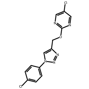 Clc1ccc(-n2cc(COc3ncc(Cl)cn3)nn2)cc1